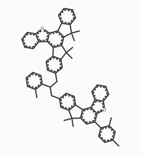 Cc1ccc(-c2cc3c(c4c2oc2ccccc24)-c2ccc(CC(Cc4ccc5c(c4)C(C)(C)c4c6c(c7oc8ccccc8c7c4-5)-c4ccccc4C6(C)C)c4ccccc4C)cc2C3(C)C)c(C)c1